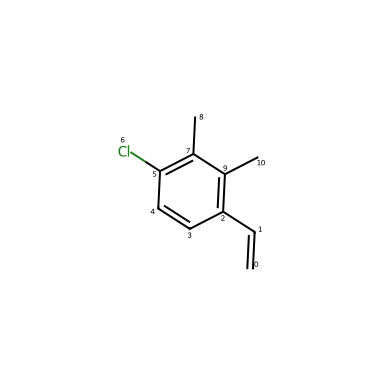 C=Cc1ccc(Cl)c(C)c1C